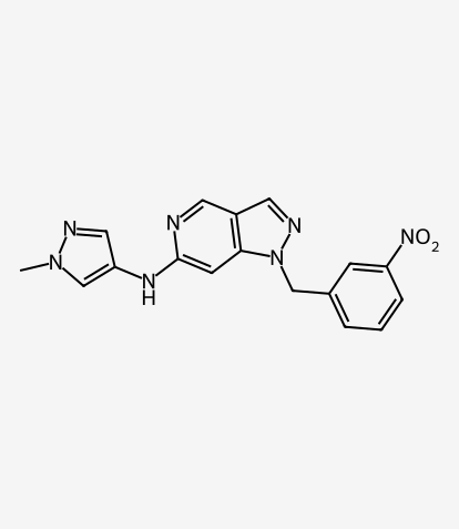 Cn1cc(Nc2cc3c(cn2)cnn3Cc2cccc([N+](=O)[O-])c2)cn1